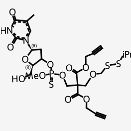 C#CCOC(=O)C(COCSSC(C)C)(COP(=S)(OC)OC1C[C@H](n2cc(C)c(=O)[nH]c2=O)O[C@@H]1CO)C(=O)OCC#C